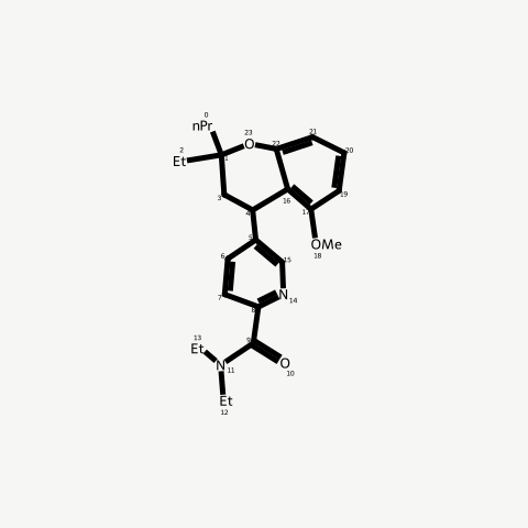 CCCC1(CC)CC(c2ccc(C(=O)N(CC)CC)nc2)c2c(OC)cccc2O1